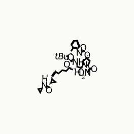 Cc1cccc2oc(O[C@@H]3C[C@@H](C(N)=O)N(C(=O)[C@H](CCCCC/C=C\[C@@H]4C[C@@H]4C(=O)NC4CC4)NC(=O)OC(C)(C)C)C3)nc12